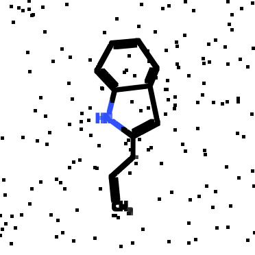 C=C[CH]c1cc2ccccc2[nH]1